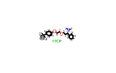 CN(C)C(CCOCCOc1ccc(C(C)(C)CC(C)(C)C)cc1)c1ccccc1.Cl